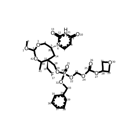 COC1OC[C@H](n2ccc(=O)[nH]c2=O)C[C@](CF)(COP(=O)(OCOC(=O)OC2COC2)OCc2ccccc2)C(C)O1